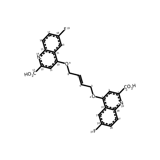 O=C(O)c1cc(OCC=CCOc2cc(C(=O)O)nc3ccc(F)cc23)c2cc(F)ccc2n1